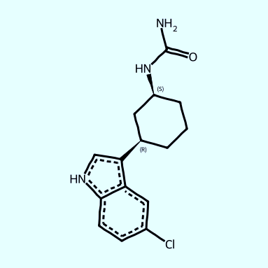 NC(=O)N[C@H]1CCC[C@@H](c2c[nH]c3ccc(Cl)cc23)C1